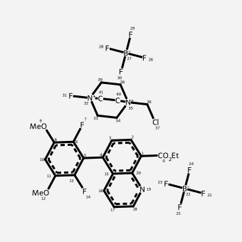 CCOC(=O)c1ccc(-c2c(F)c(OC)cc(OC)c2F)c2cccnc12.F[B-](F)(F)F.F[B-](F)(F)F.F[N+]12CC[N+](CCl)(CC1)CC2